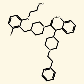 COCCOc1cccc(F)c1CN1CCN(C(=O)C(c2ccccc2OC)C2CCN(CCc3ccccc3)CC2)CC1